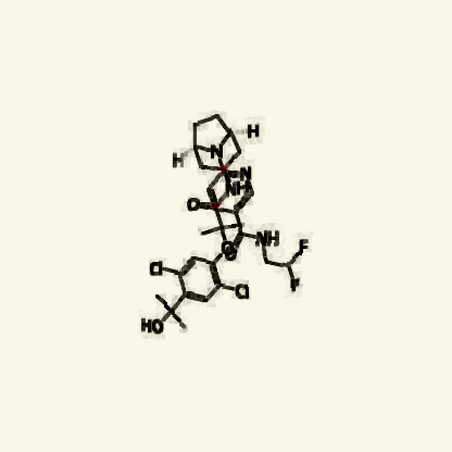 CC(C)(Oc1cc(Cl)c(C(C)(C)O)cc1Cl)C(=O)N[C@H]1C[C@H]2CC[C@@H](C1)N2c1ccc(C(=O)NCC(F)F)cn1